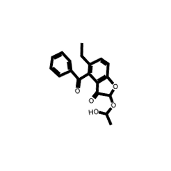 CCc1ccc2c(c1C(=O)c1ccccc1)C(=O)C(OC(C)O)O2